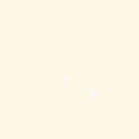 Cc1cc2c3c(c1)N(c1ccc(-c4ccc5c(c4)C(C)(C)c4cc(C(C)(C)C)ccc4-5)cc1)c1cc(C(C)(C)C)ccc1B3c1cc(C(C)(C)C)ccc1N2c1ccc(C(C)(C)C)cc1